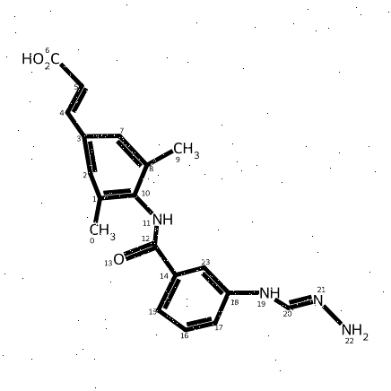 Cc1cc(C=CC(=O)O)cc(C)c1NC(=O)c1cccc(NC=NN)c1